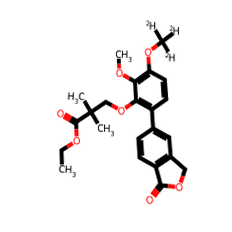 [2H]C([2H])([2H])Oc1ccc(-c2ccc3c(c2)COC3=O)c(OCC(C)(C)C(=O)OCC)c1OC